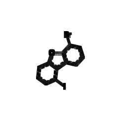 Brc1cccc2c1oc1cccc(I)c12